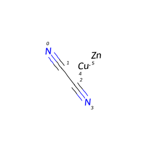 N#CC#N.[Cu].[Zn]